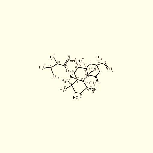 C=C[C@@]1(C)CC(=O)[C@]2(O)[C@@]3(C)[C@@H](O)CCC(C)(C)[C@@H]3[C@H](OC(=O)C(C)N(C)C)[C@H](OC(C)=O)[C@@]2(C)O1.Cl